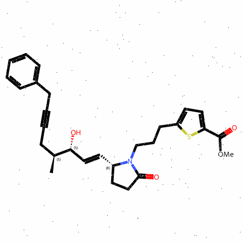 COC(=O)c1ccc(CCCN2C(=O)CC[C@@H]2C=C[C@@H](O)[C@@H](C)CC#CCc2ccccc2)s1